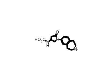 CN1CCc2ccc(N3CC(NC(=O)O)CC3=O)cc2CC1